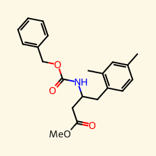 COC(=O)CC(Cc1ccc(C)cc1C)NC(=O)OCc1ccccc1